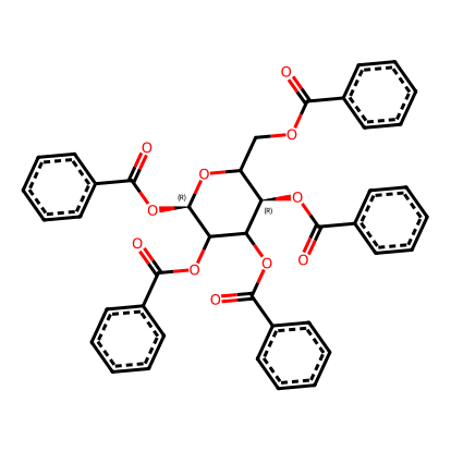 O=C(OCC1O[C@H](OC(=O)c2ccccc2)C(OC(=O)c2ccccc2)C(OC(=O)c2ccccc2)[C@@H]1OC(=O)c1ccccc1)c1ccccc1